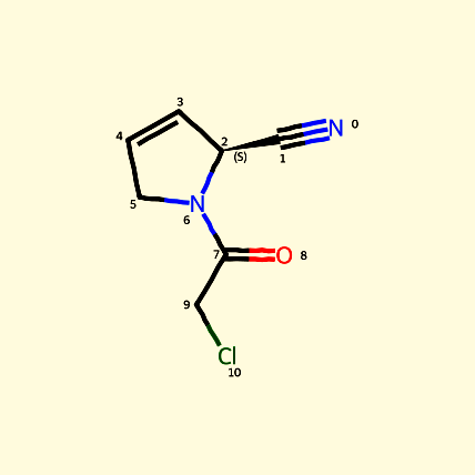 N#C[C@@H]1C=CCN1C(=O)CCl